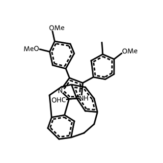 COc1ccc(-c2[nH]c(-c3cc4ccc3CCc3ccc(cc3C=O)CC4)nc2-c2ccc(OC)c(OC)c2)cc1C